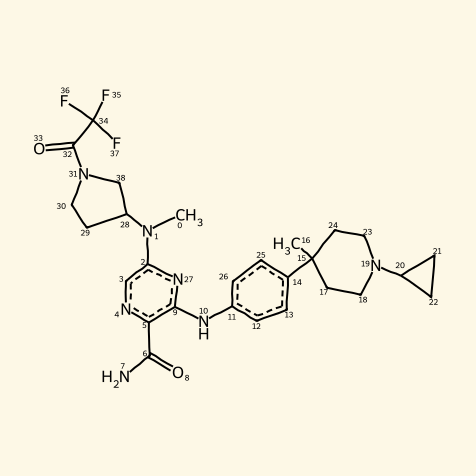 CN(c1cnc(C(N)=O)c(Nc2ccc(C3(C)CCN(C4CC4)CC3)cc2)n1)C1CCN(C(=O)C(F)(F)F)C1